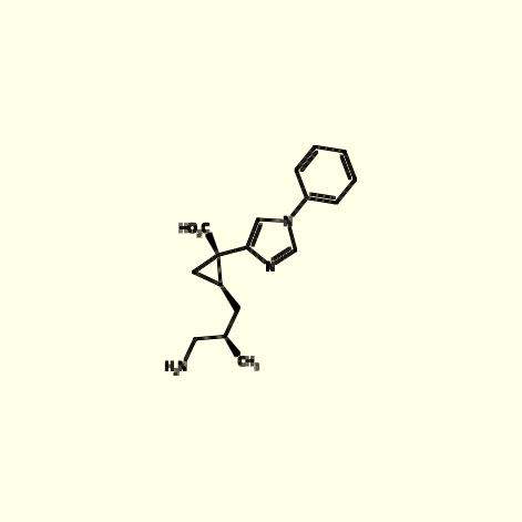 C[C@@H](CN)C[C@H]1C[C@]1(C(=O)O)c1cn(-c2ccccc2)cn1